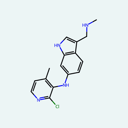 CNCc1c[nH]c2cc(Nc3c(C)ccnc3Cl)ccc12